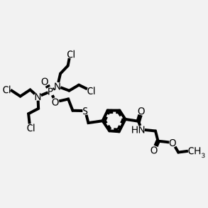 CCOC(=O)CNC(=O)c1ccc(CSCCOP(=O)(N(CCCl)CCCl)N(CCCl)CCCl)cc1